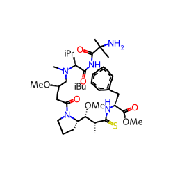 CC[C@H](C)[C@@H]([C@@H](CC(=O)N1CCC[C@H]1[C@H](OC)[C@@H](C)C(=S)N[C@@H](Cc1ccccc1)C(=O)OC)OC)N(C)[C@H](C(=O)NC(=O)C(C)(C)N)C(C)C